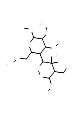 COCC1OC(OC)C(OC)C(OC)C1C1OOC(OC)C(CO)C1(O)O